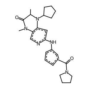 CC1C(=O)N(C)c2cnc(Nc3cccc(C(=O)N4CCCC4)c3)cc2N1C1CCCC1